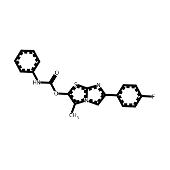 Cc1c(OC(=O)Nc2ccccc2)sc2nc(-c3ccc(F)cc3)cn12